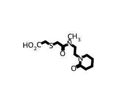 CN(CCN1CCCCC1=O)C(=O)CSCC(=O)O